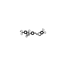 COC(=O)c1ccc(C(=O)Nc2ccc(CCN3CCc4cc(OC)c(OC)cc4C3)cc2)c([N+](=O)[O-])c1